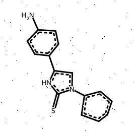 Nc1ccc(-c2cn(-c3ccccc3)c(=S)[nH]2)cc1